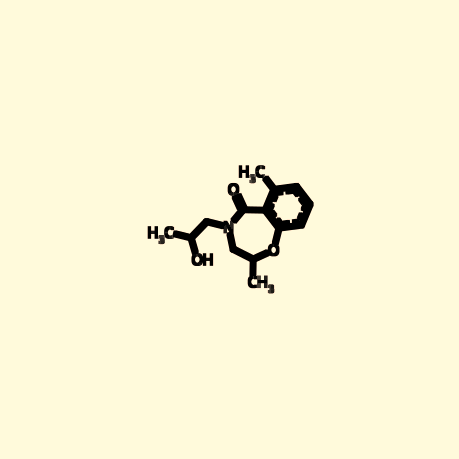 Cc1cccc2c1C(=O)N(CC(C)O)CC(C)O2